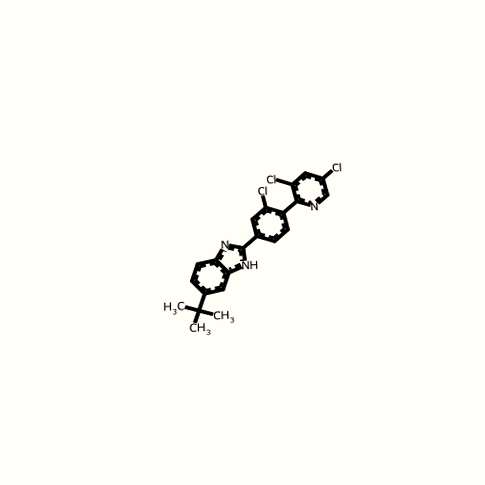 CC(C)(C)c1ccc2nc(-c3ccc(-c4ncc(Cl)cc4Cl)c(Cl)c3)[nH]c2c1